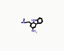 CN(C)CCC1=CC(N)=CC2c3ccccc3NC12